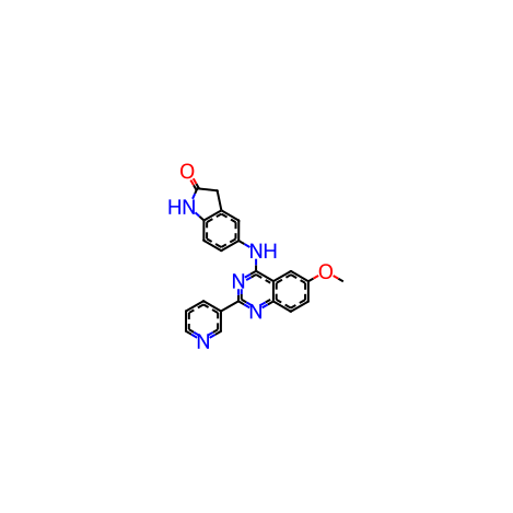 COc1ccc2nc(-c3cccnc3)nc(Nc3ccc4c(c3)CC(=O)N4)c2c1